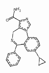 NC(=O)c1ncn2c1CN=C(c1ccccc1)c1cc(C3CC3)ccc1-2